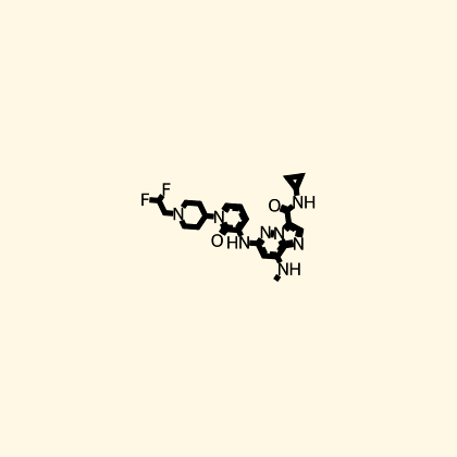 CNc1cc(Nc2cccn(C3CCN(CC(F)F)CC3)c2=O)nn2c(C(=O)NC3CC3)cnc12